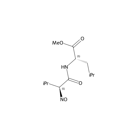 COC(=O)[C@H](CC(C)C)NC(=O)[C@@H](N=O)C(C)C